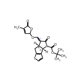 CC1=CC(O/C=C2/C(=O)N(C(=O)OC(C)(C)C)[C@@H]3c4ccsc4C[C@H]23)OC1=O